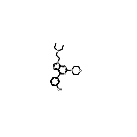 CCN(CC)CCn1cnc2c(-c3cccc(O)c3)nc(N3CCOCC3)nc21